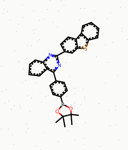 CC1(C)OB(c2ccc(-c3nc(-c4ccc5c(c4)sc4ccccc45)nc4ccccc34)cc2)OC1(C)C